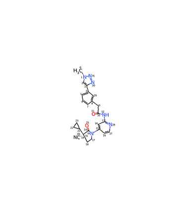 Cn1cc(-c2cccc(CC(=O)Nc3cc(N4CC[C@@](C#N)(C5CC5)C4=O)ccn3)c2)nn1